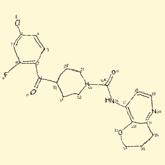 O=C(c1ccc(Cl)cc1F)C1CCN(C(=O)Nc2ccnc3c2OCCC3)CC1